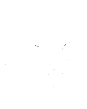 CC(=O)OC[C@H]1O[C@@H](c2ccc(Cl)c(Cc3cccs3)c2)[C@H](OC(C)=O)[C@@H](OC(C)=O)[C@@H]1OC(C)=O